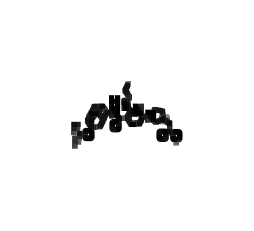 CCCSc1nc(N2CC[C@@H](CC(=O)OC)C2)ccc1C(=O)NC1C2CC3CC1CC(OC(F)F)(C3)C2